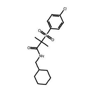 CC(C)(C(=O)NCC1CCCCC1)S(=O)(=O)c1ccc(Cl)cc1